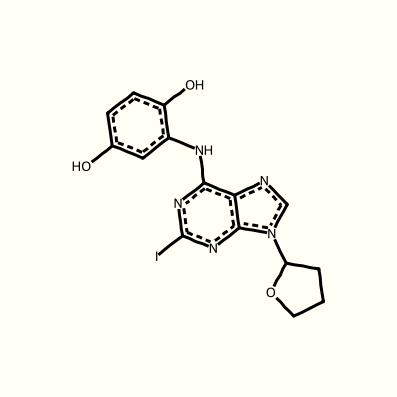 Oc1ccc(O)c(Nc2nc(I)nc3c2ncn3C2CCCO2)c1